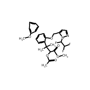 COC(=O)C(OC(C)=O)C(C)(C)c1ccccc1OCc1ccnn1C(F)C(F)F.COc1ccccc1